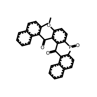 COc1ccc(P=O)c(C(=O)c2c(C)ccc3ccccc23)c1C(=O)c1c(C)ccc2ccccc12